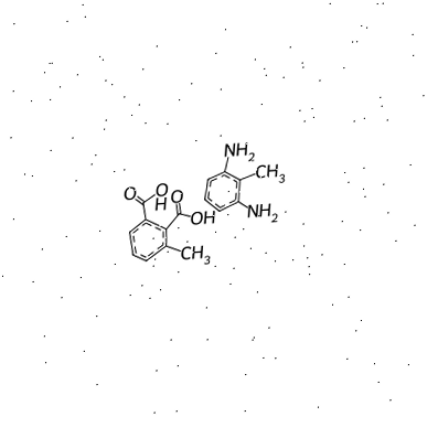 Cc1c(N)cccc1N.Cc1cccc(C(=O)O)c1C(=O)O